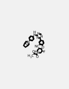 CC(O)C(=O)N1CC[C@H](Oc2ccc(-c3ncnc(Nc4ccc(N5CC6CCC(C5)O6)cc4)n3)cc2C#N)[C@H](F)C1